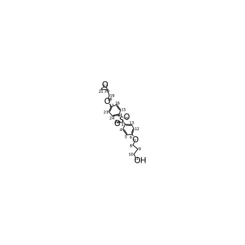 O=S(=O)(c1ccc(OCCCO)cc1)c1ccc(OCC2CO2)cc1